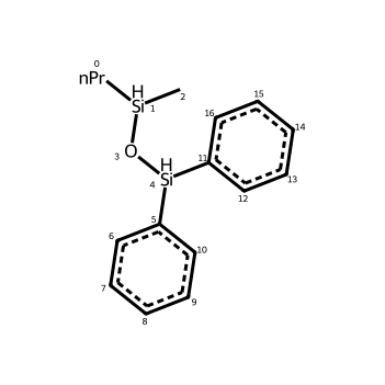 CCC[SiH](C)O[SiH](c1ccccc1)c1ccccc1